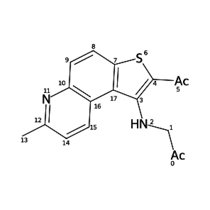 CC(=O)CNc1c(C(C)=O)sc2ccc3nc(C)ccc3c12